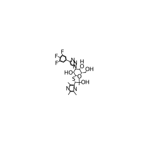 Cc1nc(C)c([C@H](S[C@@H]2O[C@H](CO)[C@H](O)[C@H](n3cc(-c4cc(F)c(F)c(F)c4)nn3)[C@H]2O)C(C)(C)O)nc1C